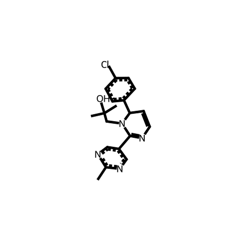 Cc1ncc(C2=NC=CC(c3ccc(Cl)cc3)N2CC(C)(C)O)cn1